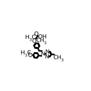 CCc1cnc(N(CCc2ccc(OC(C)(C)C(=O)O)cc2)Cc2ccc(OC)cc2)nc1